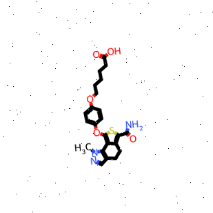 Cn1ncc2c1-c1c(Oc3ccc(OCCCCCC(=O)O)cc3)sc(C(N)=O)c1CC2